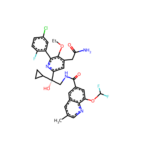 CCOc1c(CC(N)=O)cc([C@@](O)(CNC(=O)c2cc(OC(F)F)c3ncc(C)cc3c2)C2CC2)nc1-c1cc(Cl)ccc1F